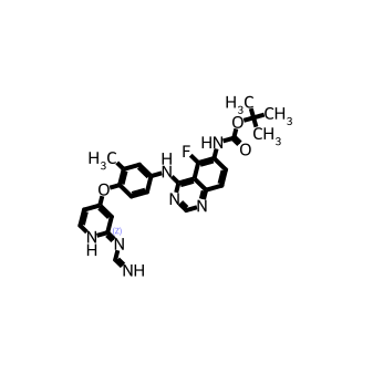 Cc1cc(Nc2ncnc3ccc(NC(=O)OC(C)(C)C)c(F)c23)ccc1Oc1cc[nH]/c(=N\C=N)c1